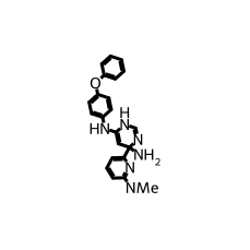 CNc1cccc(C2(N)C=C(Nc3ccc(Oc4ccccc4)cc3)NC=N2)n1